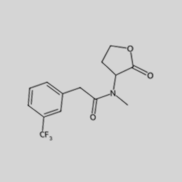 CN(C(=O)Cc1cccc(C(F)(F)F)c1)C1CCOC1=O